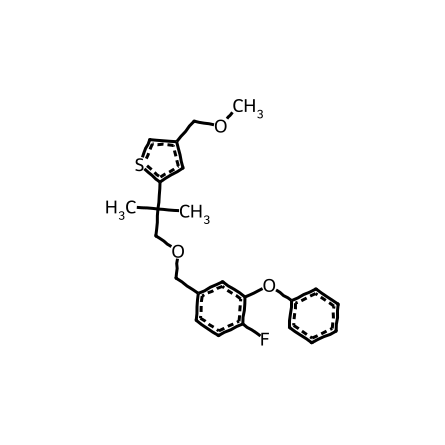 COCc1csc(C(C)(C)COCc2ccc(F)c(Oc3ccccc3)c2)c1